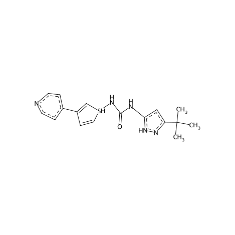 CC(C)(C)c1cc(NC(=O)N[SH]2C=CC(c3ccncc3)=C2)[nH]n1